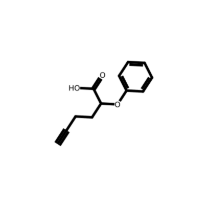 C#CCCC(Oc1ccccc1)C(=O)O